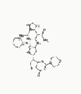 NC(=O)C1C(NC2CC(C3CSC4C(=O)C=C(N5CCOCC5)SC43)NO2)NC(N[C@H]2CCCC[C@H]2N)N2NCNC12